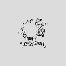 CC1CCCCCC(O)(C(F)(F)F)c2nnc(o2)-c2nc(c(C(F)(F)F)cc2N)O1